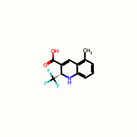 Cc1cccc2c1C=C(C(=O)O)[C@@H](C(F)(F)F)N2